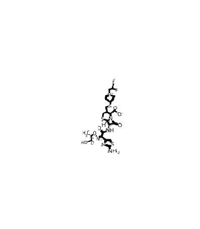 C[C@H](O/N=C(\C(=O)N[C@@H]1C(=O)N2C(C(=O)[O-])=C(CSc3cc[n+](CC(F)F)cc3)CS[C@H]12)c1csc(N)n1)C(=O)O